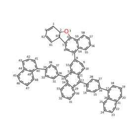 C1=CC2Oc3c(cc(-c4ccc5c(-c6ccc(-c7cccc8ccccc78)cc6)c6ccccc6c(-c6ccc(-c7cccc8ccccc78)cc6)c5c4)c4ccccc34)C2C=C1